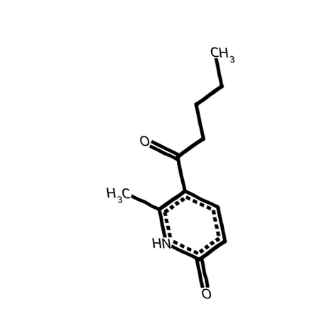 CCCCC(=O)c1ccc(=O)[nH]c1C